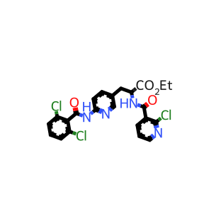 CCOC(=O)C(Cc1ccc(NC(=O)c2c(Cl)cccc2Cl)nc1)NC(=O)c1cccnc1Cl